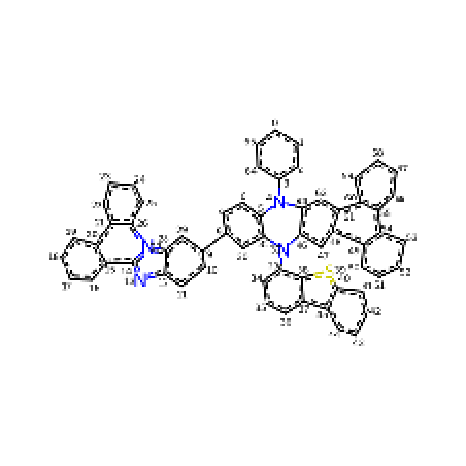 c1ccc(N2c3ccc(-c4ccc5nc6c7ccccc7c7ccccc7n6c5c4)cc3N(c3cccc4c3sc3ccccc34)c3cc4c5ccccc5c5ccccc5c4cc32)cc1